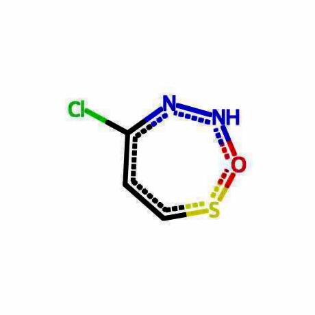 Clc1ccso[nH]n1